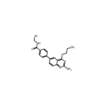 CC(C)CNC(=O)c1ccc(-c2ccc3nc(N)nc(OCCO)c3c2)cc1